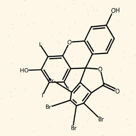 O=C1OC2(c3ccc(O)cc3Oc3c(I)c(O)c(I)c(I)c32)c2c(Br)c(Br)c(Br)c(Br)c21